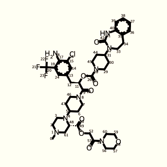 CN1CCN(C2CCN(C(=O)[C@@H](Cc3cc(Cl)c(N)c(C(F)(F)F)c3)OC(=O)N3CCC(N4CCc5ccccc5NC4=O)CC3)CC2)[C@H](C(=O)OCC(=O)N2CCOCC2)C1